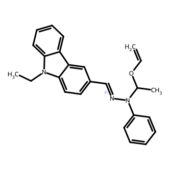 C=COC(C)N(/N=C/c1ccc2c(c1)c1ccccc1n2CC)c1ccccc1